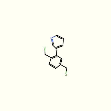 ClCc1ccc(CCl)c(-c2cccnc2)c1